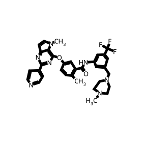 Cc1ccc(Oc2nc(-c3ccncc3)nc3ccn(C)c23)cc1C(=O)Nc1cc(CN2CCN(C)CC2)cc(C(F)(F)F)c1